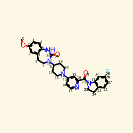 COc1ccc2c(c1)CCN(C1CCN(c3ccnc(C(=O)N4CCc5ccc(F)cc54)c3)CC1)C(=O)N2